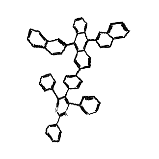 c1ccc(-c2nc(-c3ccccc3)c(-c3ccc(-c4ccc5c(-c6ccc7ccccc7c6)c6ccccc6c(-c6ccc7ccccc7c6)c5c4)cc3)c(-c3ccccc3)n2)cc1